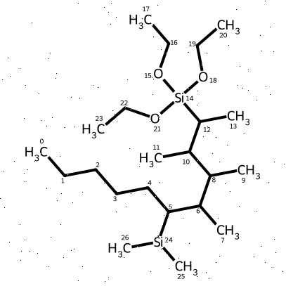 CCCCCC(C(C)C(C)C(C)C(C)[Si](OCC)(OCC)OCC)[Si](C)C